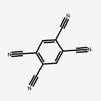 N#Cc1cc(C#N)c(C#N)cc1C#N